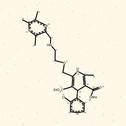 CCOC(=O)C1=C(COCCNCc2nc(C)c(C)nc2C)NC(C)=C(C(=O)OC)C1c1ccccc1Cl